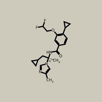 Cc1cn([C@@](C)(CC2CC2)NC(=O)c2ccc(C3CC3)c(OCC(F)F)c2)cn1